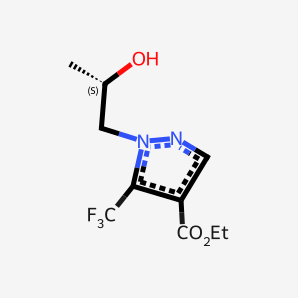 CCOC(=O)c1cnn(C[C@H](C)O)c1C(F)(F)F